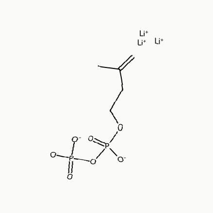 C=C(C)CCOP(=O)([O-])OP(=O)([O-])[O-].[Li+].[Li+].[Li+]